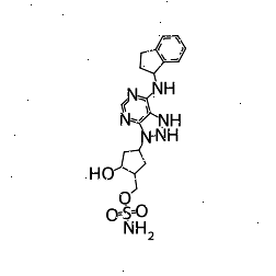 NS(=O)(=O)OCC1CC(N2NNc3c(NC4CCc5ccccc54)ncnc32)CC1O